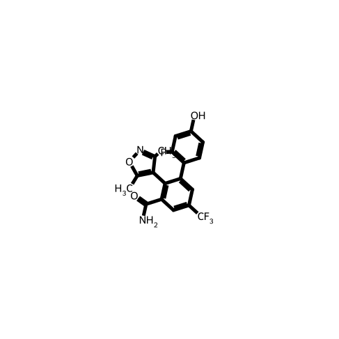 Cc1noc(C)c1-c1c(C(N)=O)cc(C(F)(F)F)cc1-c1ccc(O)cc1F